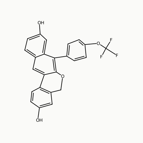 Oc1ccc2c(c1)COc1c-2cc2ccc(O)cc2c1-c1ccc(OC(F)(F)F)cc1